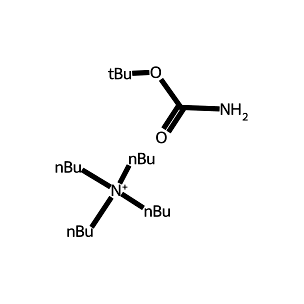 CC(C)(C)OC(N)=O.CCCC[N+](CCCC)(CCCC)CCCC